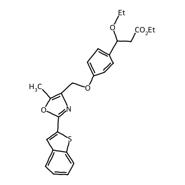 CCOC(=O)CC(OCC)c1ccc(OCc2nc(-c3cc4ccccc4s3)oc2C)cc1